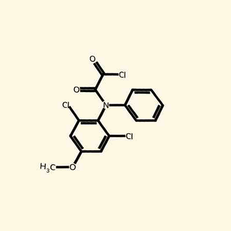 COc1cc(Cl)c(N(C(=O)C(=O)Cl)c2ccccc2)c(Cl)c1